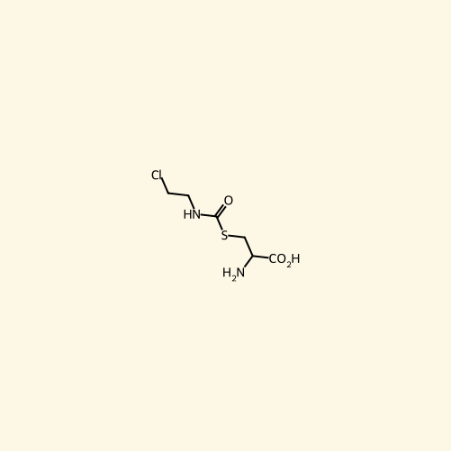 NC(CSC(=O)NCCCl)C(=O)O